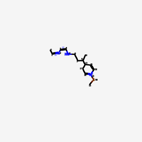 C/C=N\C=C/NCCC(C)C1C=C[N+](SC)=CC1